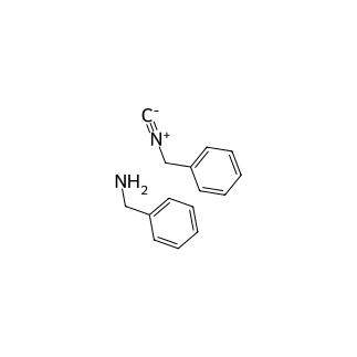 NCc1ccccc1.[C-]#[N+]Cc1ccccc1